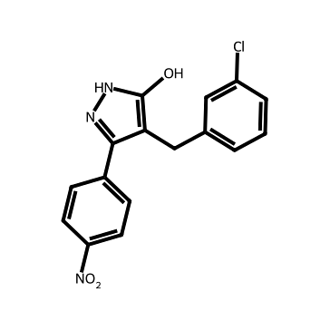 O=[N+]([O-])c1ccc(-c2n[nH]c(O)c2Cc2cccc(Cl)c2)cc1